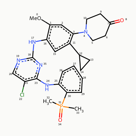 COc1cc(N2CCC(=O)CC2)c(C2CC2)cc1Nc1ncc(Cl)c(Nc2ccccc2P(C)(C)=O)n1